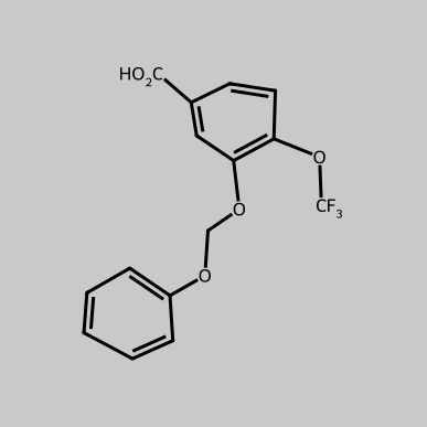 O=C(O)c1ccc(OC(F)(F)F)c(OCOc2ccccc2)c1